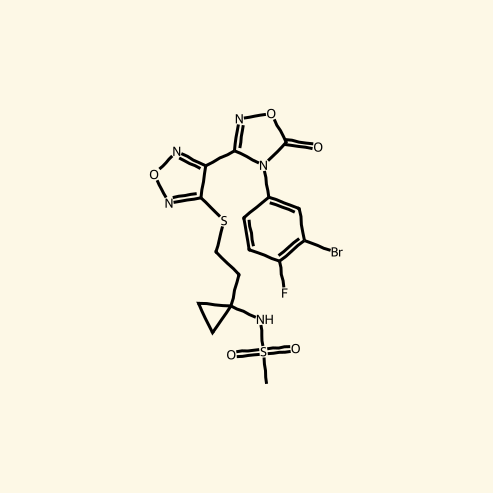 CS(=O)(=O)NC1(CCSc2nonc2-c2noc(=O)n2-c2ccc(F)c(Br)c2)CC1